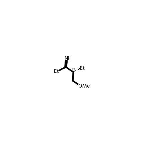 [CH2]CC(=N)[C@H](CC)COC